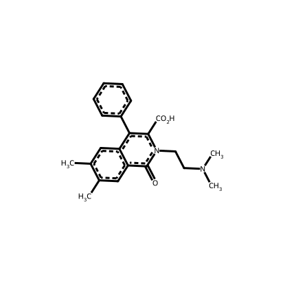 Cc1cc2c(-c3ccccc3)c(C(=O)O)n(CCN(C)C)c(=O)c2cc1C